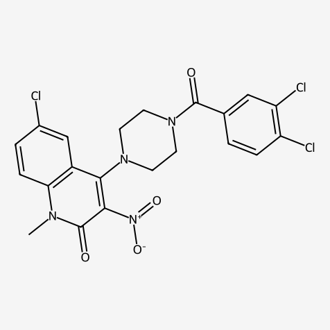 Cn1c(=O)c([N+](=O)[O-])c(N2CCN(C(=O)c3ccc(Cl)c(Cl)c3)CC2)c2cc(Cl)ccc21